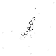 O=Cc1ccc(-c2ncn(-c3ccc(C(F)(F)F)cc3)n2)cc1